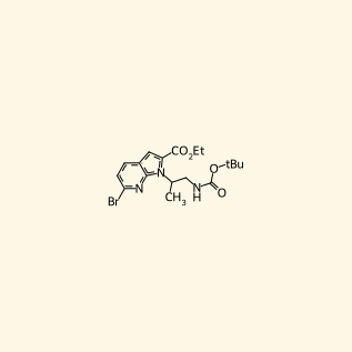 CCOC(=O)c1cc2ccc(Br)nc2n1C(C)CNC(=O)OC(C)(C)C